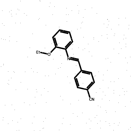 CCOc1ccccc1N=Cc1ccc(C#N)cc1